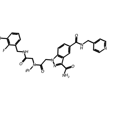 CC(C)N(CC(=O)NCc1cccc(Cl)c1F)C(=O)Cn1nc(C(N)=O)c2cc(C(=O)NCc3ccncc3)ccc21